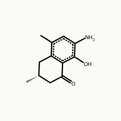 Cc1cc(N)c(O)c2c1C[C@@H](C)CC2=O